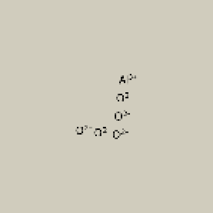 [Al+3].[O-2].[O-2].[O-2].[O-2].[O-2]